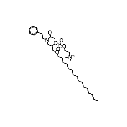 CCCCCCCCCCCCCCCCOCC(CN(CCc1ccccc1)C(C)=O)OP(=O)([O-])OCC[N+](C)(C)C